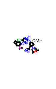 COc1cc(N2CC(C)OC(C)C2)c(-c2cnn(C)c2)cc1Nc1ncc(Br)c(Nc2cc3c(cc2P(C)C)CC3)n1